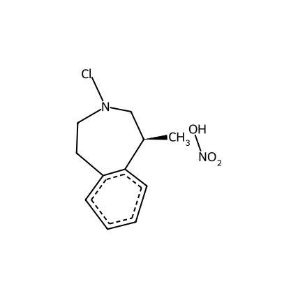 C[C@@H]1CN(Cl)CCc2ccccc21.O=[N+]([O-])O